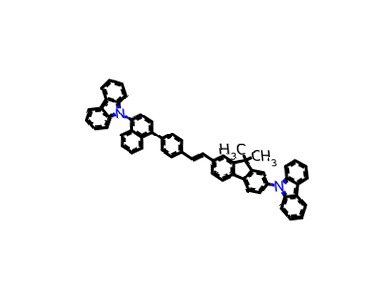 CC1(C)c2cc(/C=C/c3ccc(-c4ccc(-n5c6ccccc6c6ccccc65)c5ccccc45)cc3)ccc2-c2ccc(-n3c4ccccc4c4ccccc43)cc21